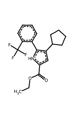 CCOC(=O)c1cc(C2CCCC2)c(-c2ccccc2C(F)(F)F)[nH]1